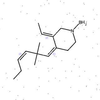 BN1CCC(=C/C(C)(C)/C=C\CC)/C(=C/C)C1